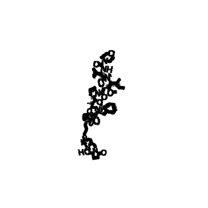 CC[C@H](C)[C@@H]([C@@H](CC(=O)N1CCC[C@H]1[C@H](OC)[C@@H](C)C(=O)N[C@@H](Cc1ccccc1)C(=O)NS(=O)(=O)CCCn1cc(CN2C(=O)C=CC2O)nn1)OC)N(C)C(=O)[C@@H](NC(=O)N1CCOCC1)C(C)C